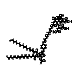 CCCCCCCCCCCCCCCC(=O)OCC(COC(C)=O)(COC(=O)CCCCCCCCCCCCCCC)C(=O)OC[C@H]1CC[C@H](COCCOCCOCCOC(=O)CC(C(=O)O)N(CCN(CC(=O)O)CC(=O)O)CCN(CC(=O)O)CC(=O)O)CC1